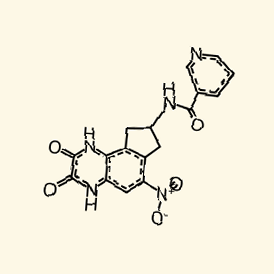 O=C(NC1Cc2c([N+](=O)[O-])cc3[nH]c(=O)c(=O)[nH]c3c2C1)c1cccnc1